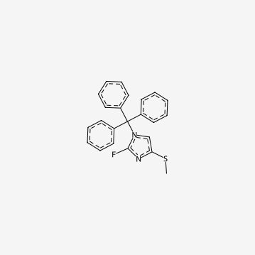 CSc1cn(C(c2ccccc2)(c2ccccc2)c2ccccc2)c(F)n1